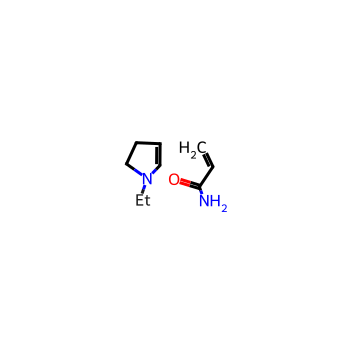 C=CC(N)=O.CCN1C=CCC1